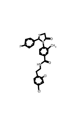 Cc1cc(C(=O)NCCc2ccc(Cl)cc2Cl)ccc1N1C(=O)CSC1c1ccc(F)cc1